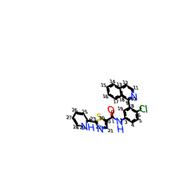 O=C(Nc1ccc(Cl)c(-c2nccc3ccccc23)c1)c1cnc(C2C=CC=CN2)s1